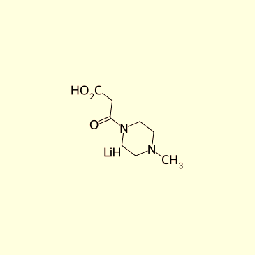 CN1CCN(C(=O)CC(=O)O)CC1.[LiH]